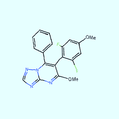 COc1cc(F)c(-c2c(OC)nc3ncnn3c2-c2ccccc2)c(F)c1